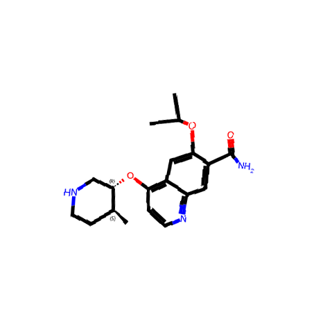 CC(C)Oc1cc2c(O[C@H]3CNCC[C@@H]3C)ccnc2cc1C(N)=O